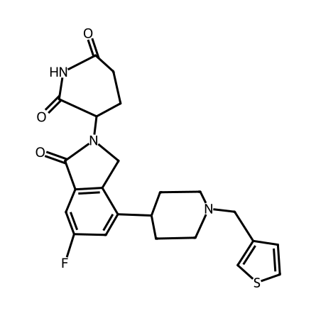 O=C1CCC(N2Cc3c(cc(F)cc3C3CCN(Cc4ccsc4)CC3)C2=O)C(=O)N1